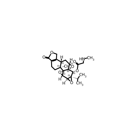 CNCC(=O)O[C@@H]1[C@@]2(C(C)C)O[C@H]2[C@@H]2O[C@]23[C@]12O[C@H]2C[C@H]1C2=C(CC[C@@]13C)C(=O)OC2